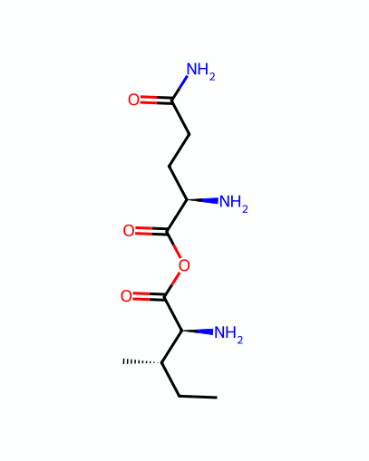 CC[C@H](C)[C@H](N)C(=O)OC(=O)[C@H](N)CCC(N)=O